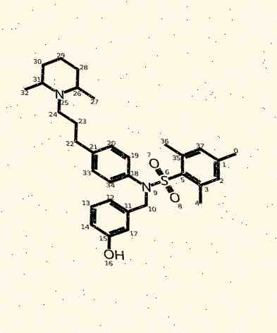 Cc1cc(C)c(S(=O)(=O)N(Cc2cccc(O)c2)c2ccc(CCCN3C(C)CCCC3C)cc2)c(C)c1